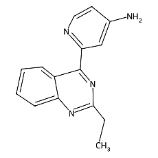 CCc1nc(-c2cc(N)ccn2)c2ccccc2n1